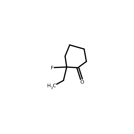 CCC1(F)CCCCC1=O